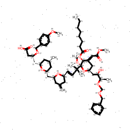 C=C1C[C@@H](C[C@H]2C[C@@H](C)C[C@@H](C[C@H](CC(=O)O)OCc3ccc(OC)cc3)O2)O[C@@H](/C=C/C(C)(C)[C@]2(OC)O[C@H](C[C@@H](O)[C@@H](C)OCOCc3ccccc3)C/C(=C\C(=O)OC)[C@@H]2OC(=O)CCCCCCC)C1